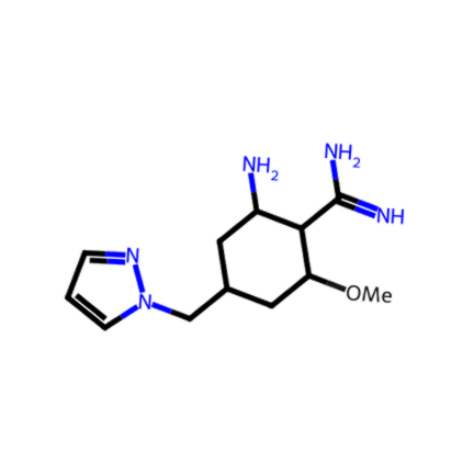 COC1CC(Cn2cccn2)CC(N)C1C(=N)N